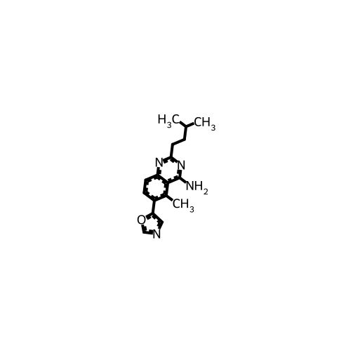 Cc1c(-c2cnco2)ccc2nc(CCC(C)C)nc(N)c12